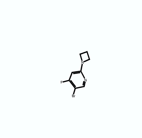 Fc1cc(N2CCC2)ncc1Br